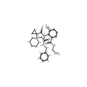 CCOC(=O)c1cccc(C)c1NC(=O)C1([N+]2(CC(=O)OCc3ccccc3)CCCCC2)CC1